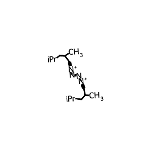 CC(C)CC(C)C#[N+]N=N[N+]#CC(C)CC(C)C